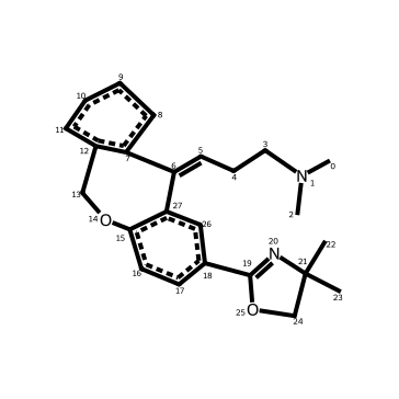 CN(C)CCC=C1c2ccccc2COc2ccc(C3=NC(C)(C)CO3)cc21